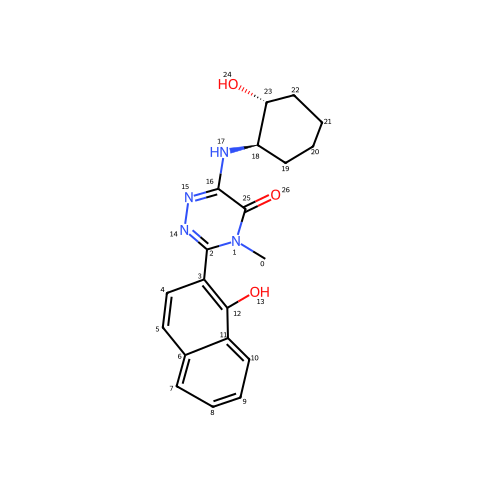 Cn1c(-c2ccc3ccccc3c2O)nnc(N[C@@H]2CCCC[C@H]2O)c1=O